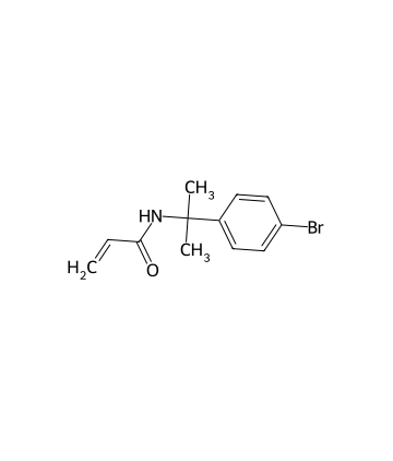 C=CC(=O)NC(C)(C)c1ccc(Br)cc1